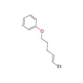 CCC=CCCCOc1c[c]ccc1